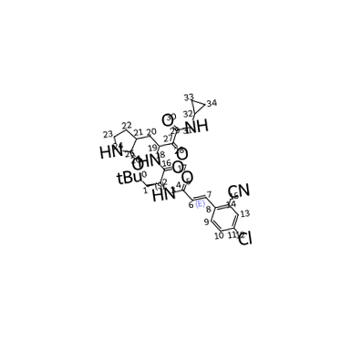 CC(C)(C)C[C@H](NC(=O)/C=C/c1ccc(Cl)cc1C#N)C(=O)NC(CC1CCNC1=O)C(=O)C(=O)NC1CC1